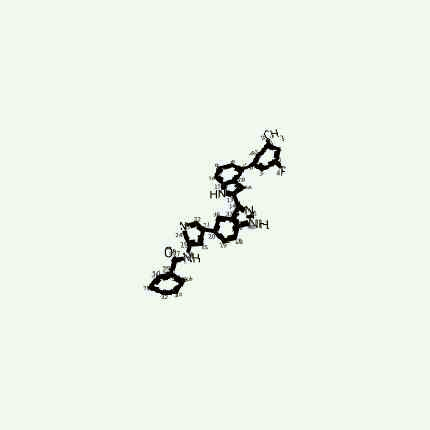 Cc1cc(F)cc(-c2cccc3[nH]c(-c4n[nH]c5ccc(-c6cncc(NC(=O)c7ccccc7)c6)cc45)cc23)c1